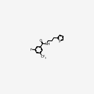 O=C(NCCCc1cccs1)c1cc(F)cc(C(F)(F)F)c1